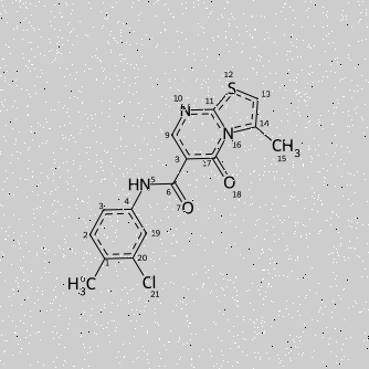 Cc1ccc(NC(=O)c2cnc3scc(C)n3c2=O)cc1Cl